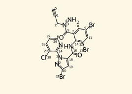 C#CCN(N)C(=O)c1cc(Br)cc(Br)c1NC(=O)c1cc(Br)nn1-c1ncccc1Cl